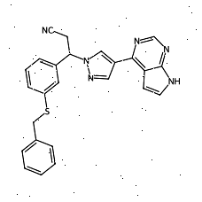 N#CCC(c1cccc(SCc2ccccc2)c1)n1cc(-c2ncnc3[nH]ccc23)cn1